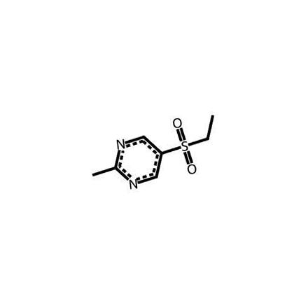 CCS(=O)(=O)c1cnc(C)nc1